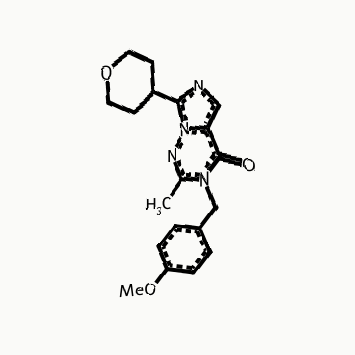 COc1ccc(Cn2c(C)nn3c(C4CCOCC4)ncc3c2=O)cc1